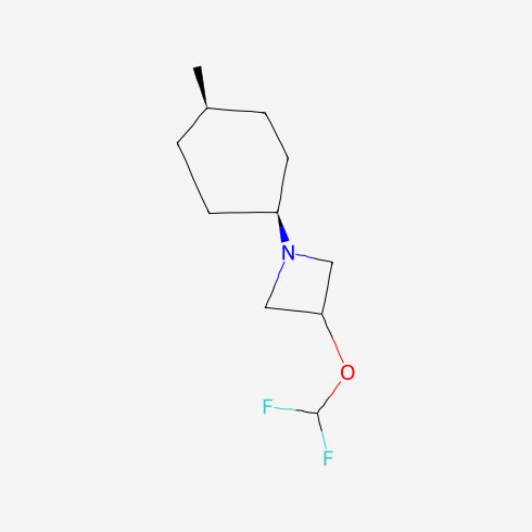 C[C@H]1CC[C@@H](N2CC(OC(F)F)C2)CC1